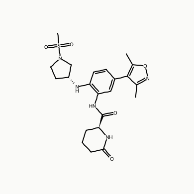 Cc1noc(C)c1-c1ccc(N[C@@H]2CCN(S(C)(=O)=O)C2)c(NC(=O)[C@@H]2CCCC(=O)N2)c1